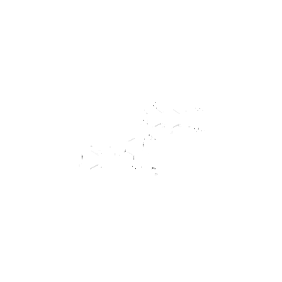 COc1cc2ncnc(Nc3ccc(OCc4ccccc4)c(C#N)c3)c2cc1OC.Cl.Cl